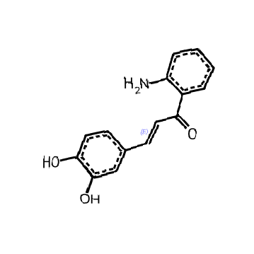 Nc1ccccc1C(=O)/C=C/c1ccc(O)c(O)c1